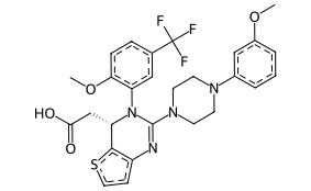 COc1cccc(N2CCN(C3=Nc4ccsc4[C@H](CC(=O)O)N3c3cc(C(F)(F)F)ccc3OC)CC2)c1